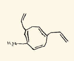 C=Cc1ccc(N)c(C=C)c1